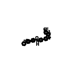 CCCCCC1(c2ccc(-c3ccc(C(=O)Nc4ccc(-c5ccc6c(c5)-c5c(c[c]c7cc(C(F)(F)F)ccc57)C6(C)C)cc4)cc3)cc2)CCCCC1